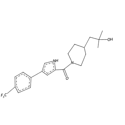 CC(C)(O)CC1CCN(C(=O)c2cc(-c3ccc(C(F)(F)F)cc3)c[nH]2)CC1